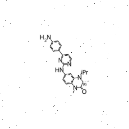 CC(C)N1c2cc(Nc3nccc(-c4ccc(N)cc4)n3)ccc2N(C)C(=O)[C@H]1C